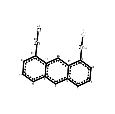 [Cl][Zn][c]1cccc2cc3ccc[c]([Zn][Cl])c3cc12